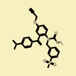 C#CCOc1ccc(N(Cc2cccc(S(C)(=O)=O)c2)C(N)=O)c(C(=C)c2ccc(C(C)C)cc2)c1